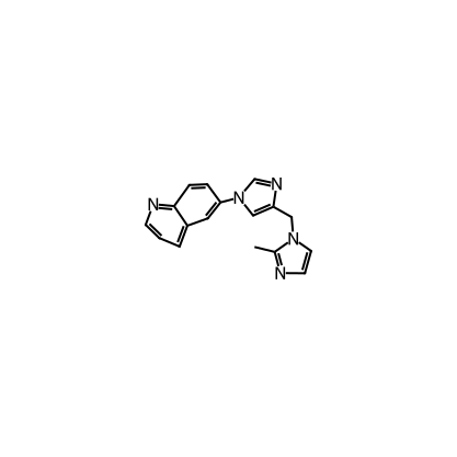 Cc1nccn1Cc1cn(-c2ccc3ncccc3c2)cn1